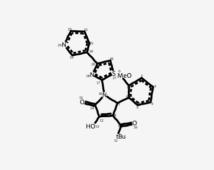 COc1ccccc1C1C(C(=O)C(C)(C)C)=C(O)C(=O)N1c1nc(-c2cccnc2)cs1